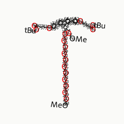 COCCOCCCC1(CCCOCCOCCOCCOCCOCCOCCOCCOCCOCCOCCOCCOC)c2cc(-c3ccc(OCCCCCC(=O)OC(C)(C)C)cc3)ccc2-c2ccc(-c3ccc(OCCCCCC(=O)OC(C)(C)C)cc3)cc21